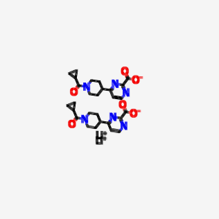 O=C([O-])c1nccc(C2CCN(C(=O)C3CC3)CC2)n1.O=C([O-])c1nccc(C2CCN(C(=O)C3CC3)CC2)n1.[Li+].[Li+]